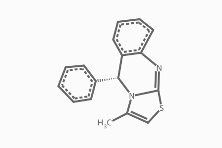 CC1=CSC2=Nc3ccccc3[C@@H](c3ccccc3)N12